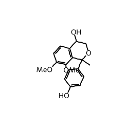 COc1ccc2c(c1OC)C(C)(c1ccc(O)cc1)OCC2O